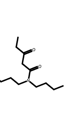 CCCCN(CCCC)C(=O)CC(=O)CC